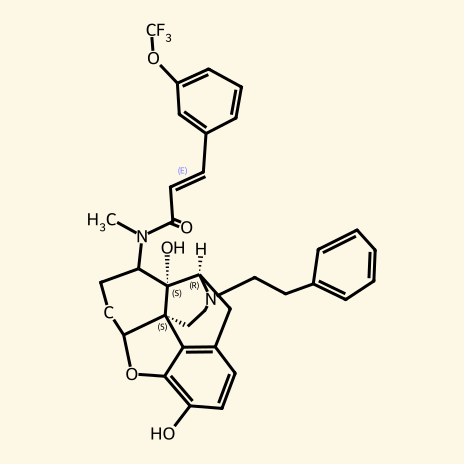 CN(C(=O)/C=C/c1cccc(OC(F)(F)F)c1)C1CCC2Oc3c(O)ccc4c3[C@@]23CCN(CCc2ccccc2)[C@H](C4)[C@]13O